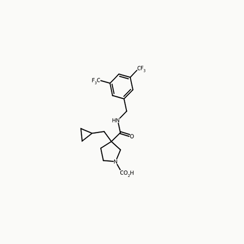 O=C(O)N1CCC(CC2CC2)(C(=O)NCc2cc(C(F)(F)F)cc(C(F)(F)F)c2)C1